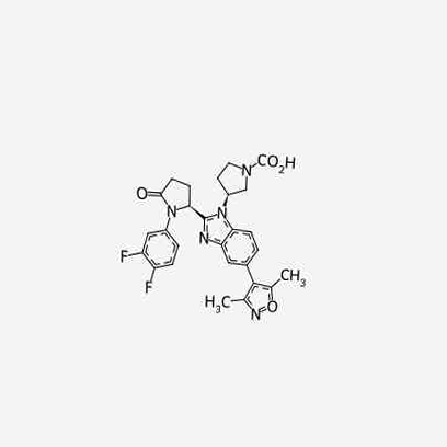 Cc1noc(C)c1-c1ccc2c(c1)nc([C@@H]1CCC(=O)N1c1ccc(F)c(F)c1)n2[C@H]1CCN(C(=O)O)C1